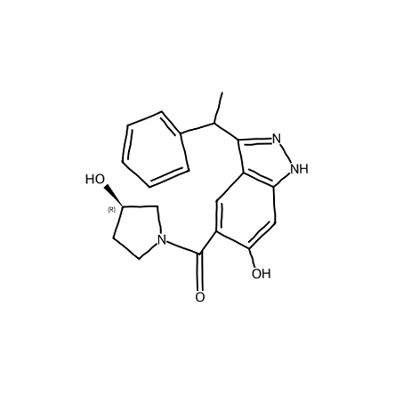 CC(c1ccccc1)c1n[nH]c2cc(O)c(C(=O)N3CC[C@@H](O)C3)cc12